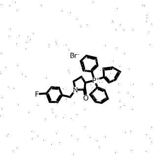 O=C1C([P+](c2ccccc2)(c2ccccc2)c2ccccc2)CCN1Cc1ccc(F)cc1.[Br-]